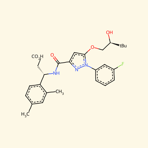 Cc1ccc([C@H](CC(=O)O)NC(=O)c2cc(OC[C@@H](O)C(C)(C)C)n(-c3cccc(F)c3)n2)c(C)c1